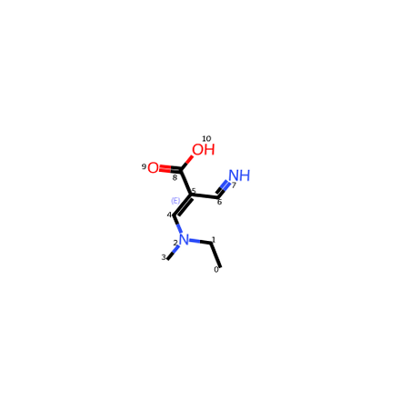 CCN(C)/C=C(\C=N)C(=O)O